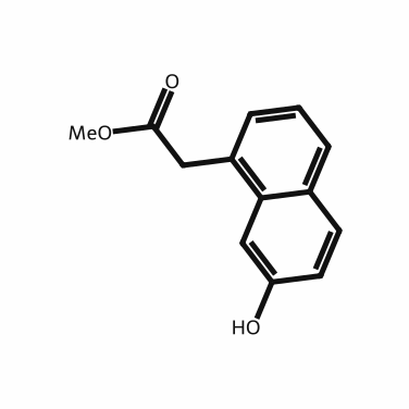 COC(=O)Cc1cccc2ccc(O)cc12